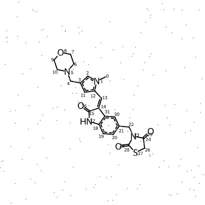 Cn1cc(CN2CCOCC2)cc1C=C1C(=O)Nc2ccc(CN3C(=O)CSC3=O)cc21